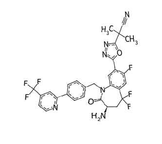 CC(C)(C#N)c1nnc(-c2cc3c(cc2F)C(F)(F)C[C@@H](N)C(=O)N3Cc2ccc(-c3cc(C(F)(F)F)ccn3)cc2)o1